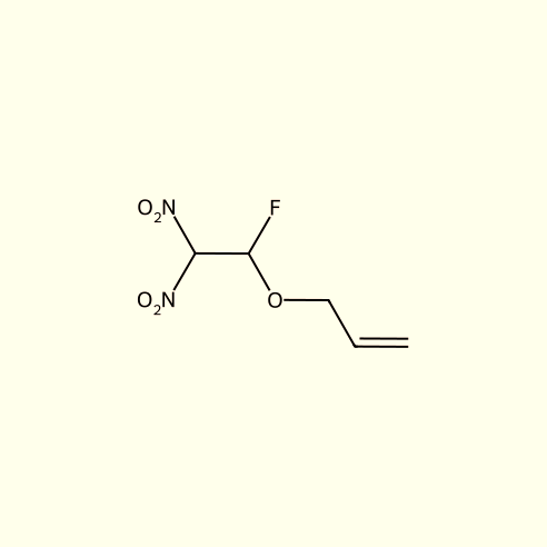 C=CCOC(F)C([N+](=O)[O-])[N+](=O)[O-]